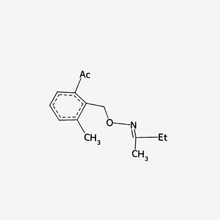 CCC(C)=NOCc1c(C)cccc1C(C)=O